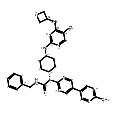 COc1ncc(-c2cnc(N(C(=O)NCc3ccccc3)[C@H]3CC[C@H](Nc4ncc(C#N)c(NC5COC5)n4)CC3)nc2)cn1